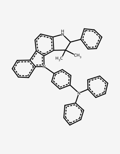 CC1(C)c2c(ccc3c4ccccc4n(-c4ccc(N(c5ccccc5)c5ccccc5)cc4)c23)NC1c1ccccc1